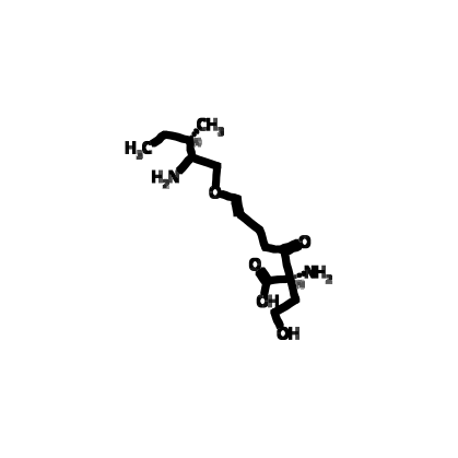 CC[C@H](C)C(N)COC=CCCC(=O)[C@@](N)(CCO)C(=O)O